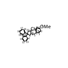 COc1ccc(CN2CC(c3ccccc3)(c3ccccc3)CC2C)cc1